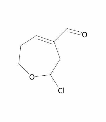 O=CC1=CCCOC(Cl)C1